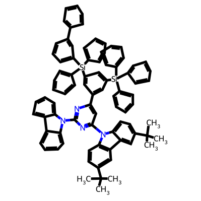 CC(C)(C)c1ccc2c(c1)c1cc(C(C)(C)C)ccc1n2-c1cc(-c2cc([Si](c3ccccc3)(c3ccccc3)c3ccccc3)cc([Si](c3ccccc3)(c3ccccc3)c3cccc(-c4ccccc4)c3)c2)nc(-n2c3ccccc3c3ccccc32)n1